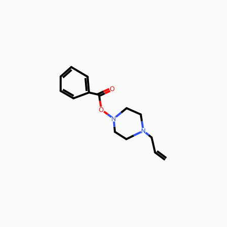 C=CCN1CCN(OC(=O)c2ccccc2)CC1